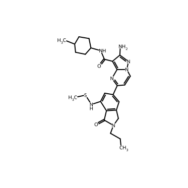 CCCN1Cc2cc(-c3ccn4nc(N)c(C(=O)NC5CCC(C)CC5)c4n3)cc(NSC)c2C1=O